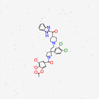 COc1cc(C(=O)N2CCC(CCN3CCC(C(=O)c4nc5ccccc5[nH]4)CC3)(c3ccc(Cl)c(Cl)c3)C2)cc(OC(C)=O)c1OC